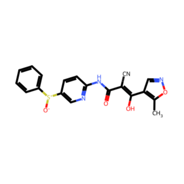 Cc1oncc1/C(O)=C(\C#N)C(=O)Nc1ccc([S+]([O-])c2ccccc2)cn1